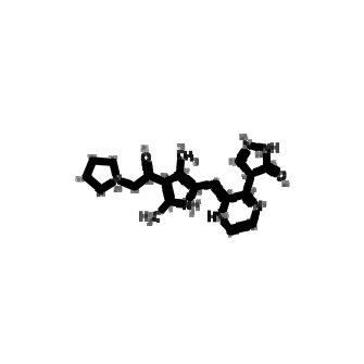 Cc1[nH]c(C=C2NC=CN=C2C2C=NNC2=O)c(C)c1C(=O)CN1CCCC1